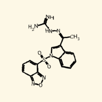 C/C(=N/NC(=N)N)c1cn(S(=O)(=O)c2cccc3nonc23)c2ccccc12